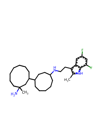 Cc1[nH]c2c(F)cc(F)cc2c1CCNC1CCCCCC(C2CCCCCCCC(C)(N)C2)CC1